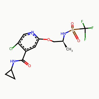 C[C@@H](COc1cc(C(=O)NC2CC2)c(Cl)cn1)NS(=O)(=O)C(F)(F)F